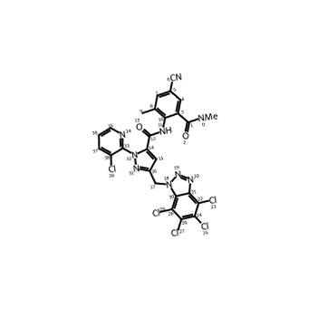 CNC(=O)c1cc(C#N)cc(C)c1NC(=O)c1cc(Cn2nnc3c(Cl)c(Cl)c(Cl)c(Cl)c32)nn1-c1ncccc1Cl